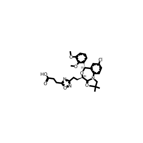 COc1cccc([C@H]2O[C@H](CCc3noc(CCC(=O)O)n3)C(=O)N(CC(C)(C)C)c3ccc(Cl)cc32)c1OC